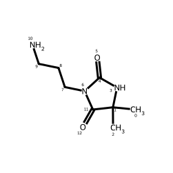 CC1(C)NC(=O)N(CCCN)C1=O